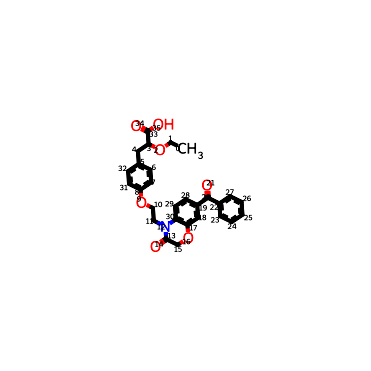 CCOC(Cc1ccc(OCCN2C(=O)COc3cc(C(=O)c4ccccc4)ccc32)cc1)C(=O)O